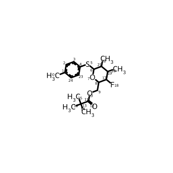 Cc1ccc(SC2OC(COC(=O)C(C)(C)C)C(F)C(C)C2C)cc1